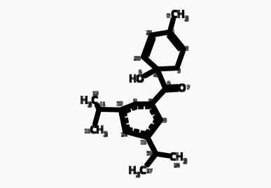 CC1=CCC(O)(C(=O)c2cc(C(C)C)cc(C(C)C)c2)C=C1